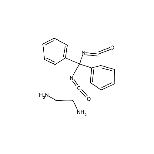 NCCN.O=C=NC(N=C=O)(c1ccccc1)c1ccccc1